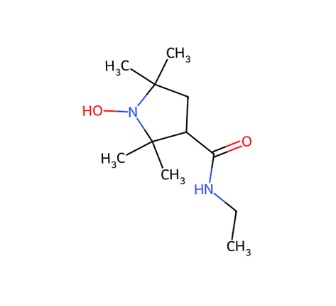 CCNC(=O)C1CC(C)(C)N(O)C1(C)C